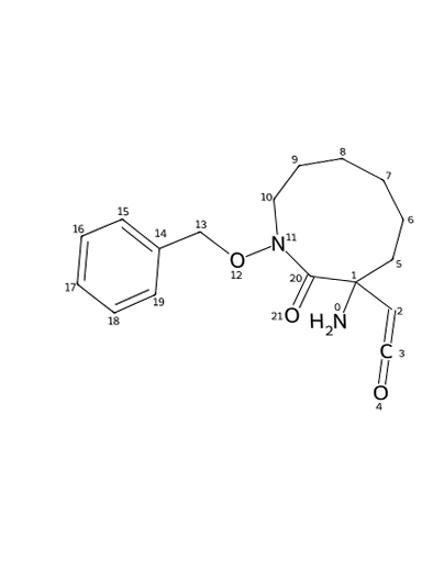 NC1(C=C=O)CCCCCCN(OCc2ccccc2)C1=O